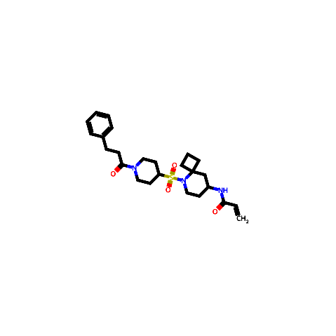 C=CC(=O)NC1CCN(S(=O)(=O)C2CCN(C(=O)CCc3ccccc3)CC2)C2(CCC2)C1